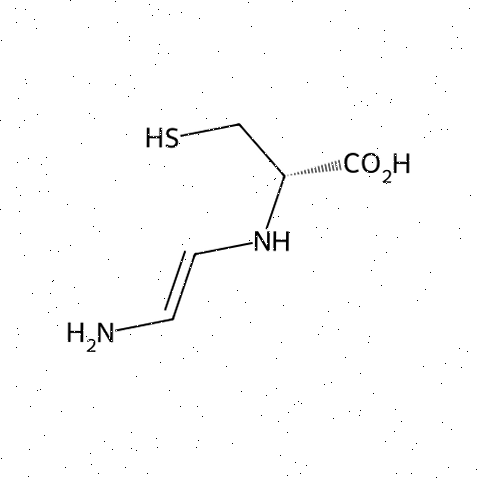 NC=CN[C@H](CS)C(=O)O